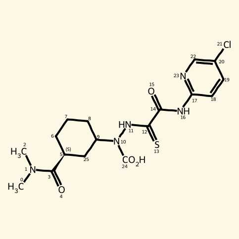 CN(C)C(=O)[C@H]1CCCC(N(NC(=S)C(=O)Nc2ccc(Cl)cn2)C(=O)O)C1